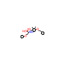 Cc1c(OCCc2ccccc2)ccc(C(=O)NC(CCOc2ccccc2)C(=O)O)c1C